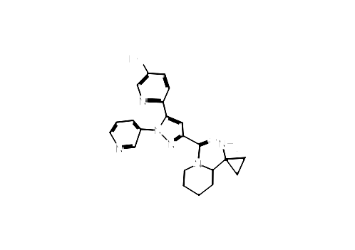 Cc1ccc(-c2cc(C(=O)N3CCCCC3C3(N)CC3)nn2-c2cccnc2)nc1